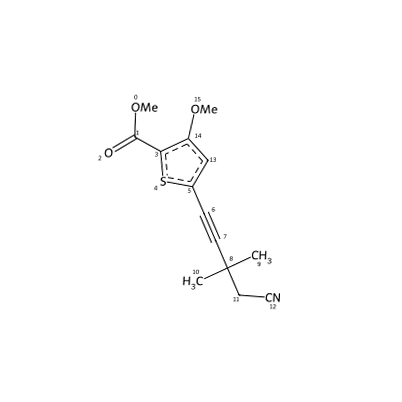 COC(=O)c1sc(C#CC(C)(C)CC#N)cc1OC